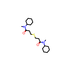 CN(C(=O)CCSCCC(=O)N(C)C1CCCCC1)C1CCCCC1